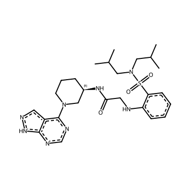 CC(C)CN(CC(C)C)S(=O)(=O)c1ccccc1NCC(=O)N[C@@H]1CCCN(c2ncnc3[nH]ncc23)C1